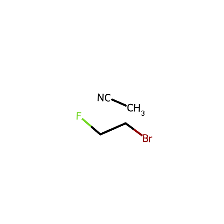 CC#N.FCCBr